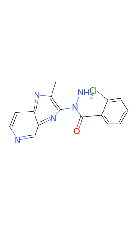 Cc1nc2ccncc2nc1N(N)C(=O)c1ccccc1Cl